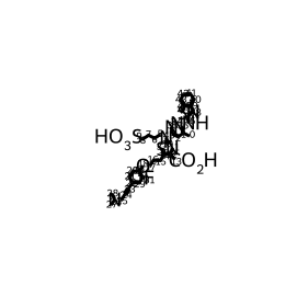 Cc1cc(N(CCCCS(=O)(=O)O)c2nc(C(=O)O)c(CCCOc3ccc(C#CCN(C)C)cc3F)s2)nnc1Nc1nc2ccccc2s1